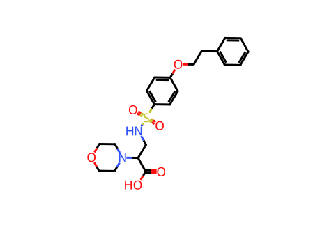 O=C(O)C(CNS(=O)(=O)c1ccc(OCCc2ccccc2)cc1)N1CCOCC1